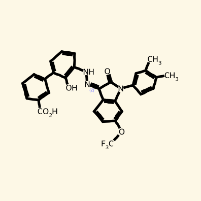 Cc1ccc(N2C(=O)/C(=N\Nc3cccc(-c4cccc(C(=O)O)c4)c3O)c3ccc(OC(F)(F)F)cc32)cc1C